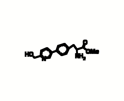 COC(=O)C(N)Cc1ccc(-c2ccc(CO)nc2)cc1